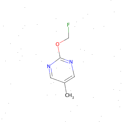 Cc1cnc(OCF)nc1